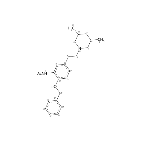 CC(=O)Nc1cc(CCN2CC(C)CC(C)C2)ccc1OCc1ccccc1